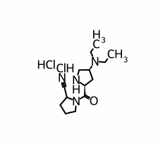 CCN(CC)[C@@H]1CN[C@H](C(=O)N2CCCC2C#N)C1.Cl.Cl